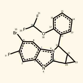 Fc1cc2nc3n(c2cc1Br)C(c1ccccc1OC(F)F)C1CC31